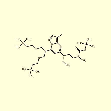 CC[C@@H](CCN(C)C(=O)OC(C)(C)C)c1cc(N(COCC[Si](C)(C)C)COCC[Si](C)(C)C)n2ncc(I)c2n1